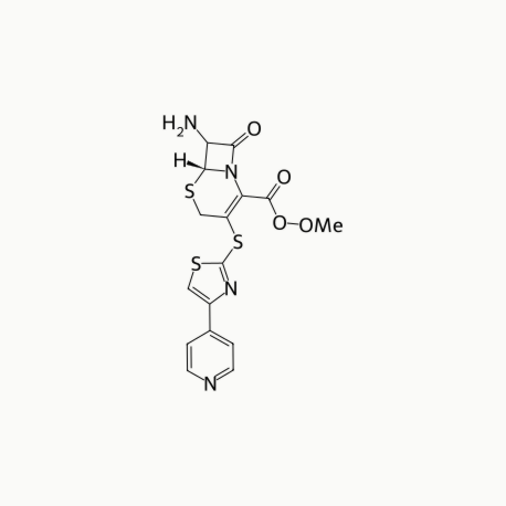 COOC(=O)C1=C(Sc2nc(-c3ccncc3)cs2)CS[C@@H]2C(N)C(=O)N12